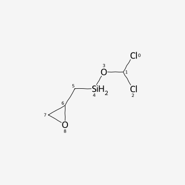 ClC(Cl)O[SiH2]CC1CO1